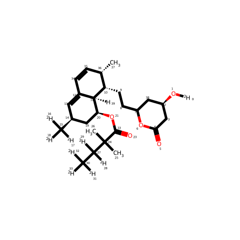 [2H]O[C@H]1CC(=O)OC(CC[C@@H]2[C@@H]3C(=C[C@H](C([2H])([2H])[2H])C[C@@H]3OC(=O)C(C)(C)C([2H])([2H])C([2H])([2H])[2H])C=C[C@@H]2C)C1